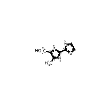 Cc1nc(-c2nccs2)sc1C(=O)O